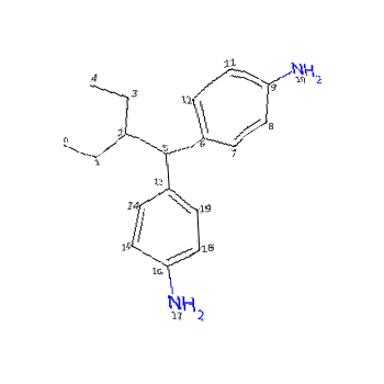 CCC(CC)C(c1ccc(N)cc1)c1ccc(N)cc1